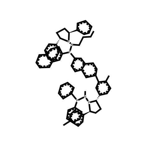 CCCCN(P(c1ccc2ccccc2c1)c1ccc2cc(-c3cc([C@@H]4CC[C@@H](c5ccc(C)cc5)P4N(C)P(c4ccccc4)c4ccccc4)ccc3C)ccc2c1)P1[C@H](c2ccccc2)CC[C@H]1c1ccccc1